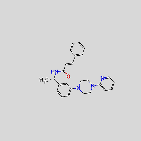 C[C@H](NC(=O)C=Cc1ccccc1)c1cccc(N2CCN(c3ccccn3)CC2)c1